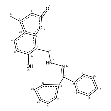 Cc1cc(=O)oc2c(CNN=C(c3ccccc3)c3ccccc3)c(O)ccc12